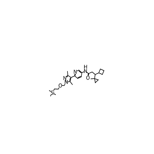 Cc1nn(COCC[Si](C)(C)C)c(C)c1-c1ccc(NC(=O)CC(C2CCC2)C2(C)CC2)cn1